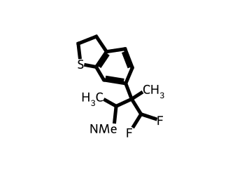 CNC(C)C(C)(c1ccc2c(c1)SCC2)C(F)F